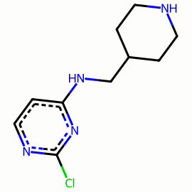 Clc1nccc(NCC2CCNCC2)n1